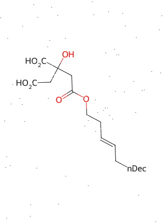 CCCCCCCCCCCC=CCCOC(=O)CC(O)(CC(=O)O)C(=O)O